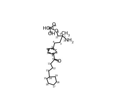 CC(N)(CCc1ccc(C(=O)CCCC2CCCCC2)s1)COP(=O)(O)O